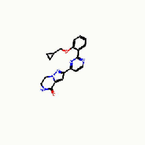 O=C1NCCn2nc(-c3ccnc(-c4ccccc4OCC4CC4)n3)cc21